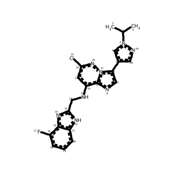 CC(C)n1cc(-c2cnc3c(NCc4nc5c(F)cccc5[nH]4)cc(Cl)nn23)cn1